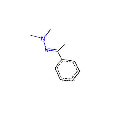 CC(=NN(C)C)c1cc[c]cc1